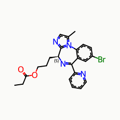 CCC(=O)OCCC[C@@H]1N=C(c2ccccn2)c2cc(Br)ccc2-n2c(C)cnc21